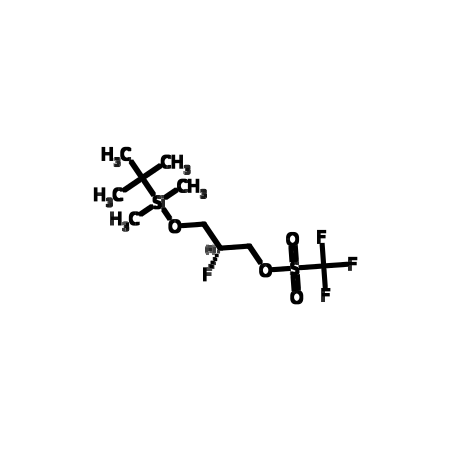 CC(C)(C)[Si](C)(C)OC[C@@H](F)COS(=O)(=O)C(F)(F)F